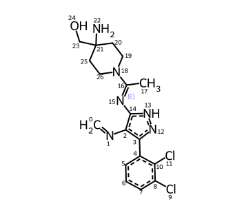 C=Nc1c(-c2cccc(Cl)c2Cl)n[nH]c1/N=C(\C)N1CCC(N)(CO)CC1